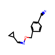 N#Cc1ccc(CO/N=[C]\C2CC2)cc1